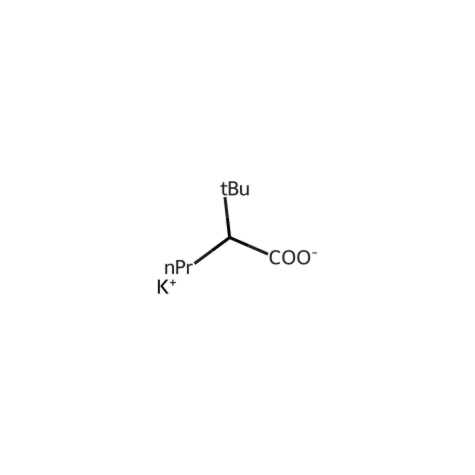 CCCC(C(=O)[O-])C(C)(C)C.[K+]